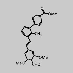 COC(=O)c1ccc(-c2cccc(/C=C/c3cc(OC)c(C=O)c(OC)c3)c2C)cc1